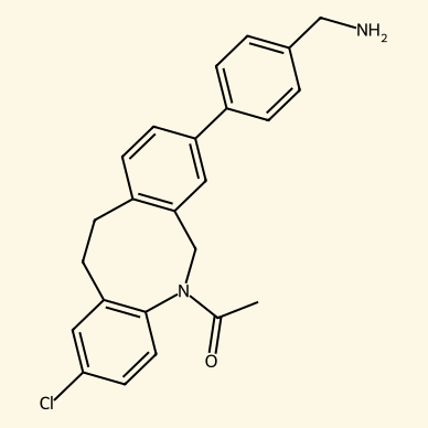 CC(=O)N1Cc2cc(-c3ccc(CN)cc3)ccc2CCc2cc(Cl)ccc21